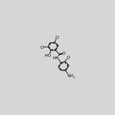 Nc1ccc(NC(=O)c2cc(Cl)cc(Cl)c2O)c(Cl)c1